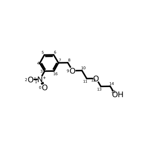 O=[N+]([O-])c1cccc(COCCOCCO)c1